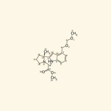 COCOCc1cccc2[nH]c([C@@]3(C)CCCN3CC(=O)OC)cc12